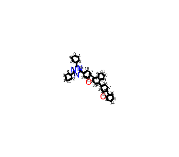 c1ccc(-c2nc(-c3ccccc3)nc(-c3ccc4c(c3)oc3cc(-c5ccc6c(c5)oc5ccccc56)c5ccccc5c34)n2)cc1